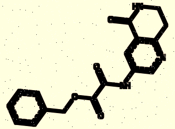 O=C(Nc1cnc2c(c1)C(=O)NCC2)C(=O)OCc1ccccc1